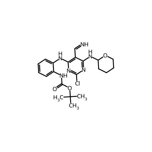 CC(C)(C)OC(=O)Nc1ccccc1Nc1nc(Cl)nc(NC2CCCCO2)c1C=N